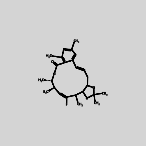 Cc1cc(C)c2c(c1)/C=C/CC1OC(C)(C)OC1C(C)/C(F)=C\[C@@H](C)[C@H](C)OC2=O